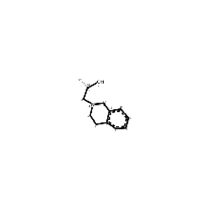 C[C@H](O)CN1CCc2ccccc2C1